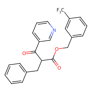 O=C(OCc1cccc(C(F)(F)F)c1)C(Cc1ccccc1)C(=O)c1cccnc1